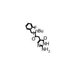 CCCCN(Cc1ccccc1F)C(=O)Cc1cnc(N)[nH]c1=O